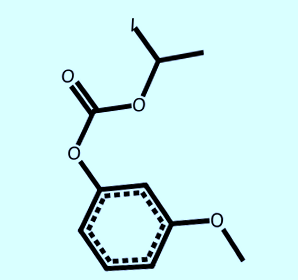 COc1cccc(OC(=O)OC(C)I)c1